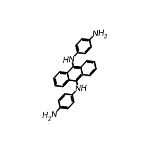 Nc1ccc(Nc2c3ccccc3c(Nc3ccc(N)cc3)c3ccccc23)cc1